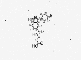 O=C(O)CCNC(=O)c1ccc2[nH]nc(-c3ccc(F)cc3)c2c1